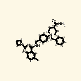 Cc1ccc2nc(N3CCC3)nc(NCc3ccc([N+]4(Cc5ccccc5)CCC(C(N)=O)CC4)cc3)c2c1